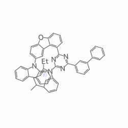 CC/C1=C\CC(C)C2C=CC=C(C2)N1c1nc(-c2cccc(-c3ccccc3)c2)nc(-c2cccc3oc4ccc(-n5c6ccccc6c6ccccc65)cc4c23)n1